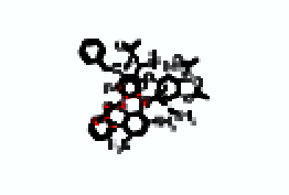 CC(=O)OC[C@H]1O[C@@H](O[C@@H]2[C@@H](OC(C)=O)[C@H](N)C[C@H](N)[C@H]2O[C@H]2O[C@H](CN)[C@@H](OCc3ccccc3)[C@H](F)[C@H]2OCc2ccccc2)[C@H](OC(C)=O)[C@@H]1O[C@H]1O[C@@H](CN)[C@@H](OC(C)=O)[C@H](OC(C)=O)[C@H]1N